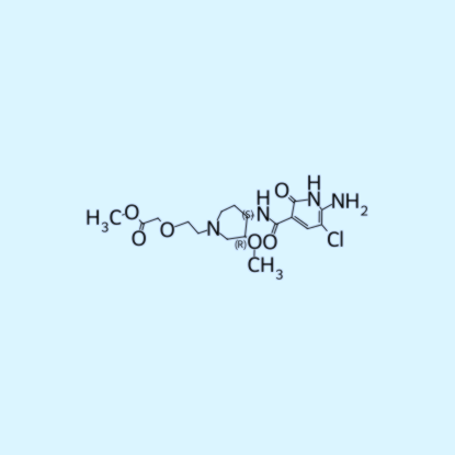 COC(=O)COCCN1CC[C@H](NC(=O)c2cc(Cl)c(N)[nH]c2=O)[C@H](OC)C1